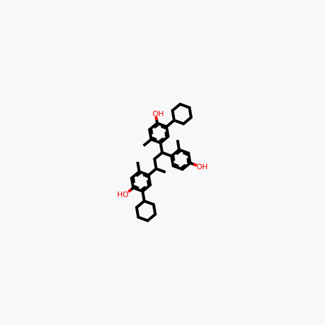 Cc1cc(O)c(C2CCCCC2)cc1C(C)CC(c1ccc(O)cc1C)c1cc(C2CCCCC2)c(O)cc1C